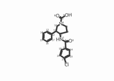 O=C(NC1CCN(C(=O)O)CC1c1ccccc1)c1ccc(Cl)cc1